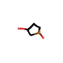 [O-][S+]1CCC(O)C1